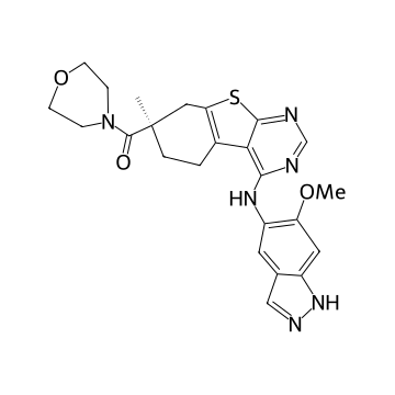 COc1cc2[nH]ncc2cc1Nc1ncnc2sc3c(c12)CC[C@@](C)(C(=O)N1CCOCC1)C3